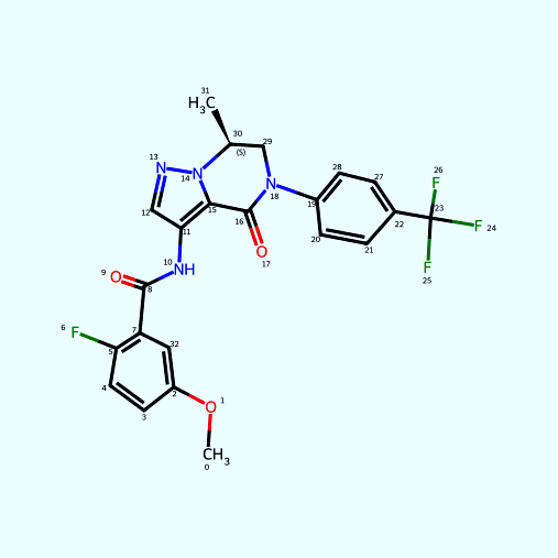 COc1ccc(F)c(C(=O)Nc2cnn3c2C(=O)N(c2ccc(C(F)(F)F)cc2)C[C@@H]3C)c1